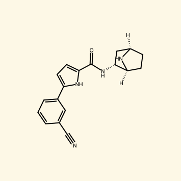 N#Cc1cccc(-c2ccc(C(=O)N[C@@H]3C[C@H]4CC[C@@H]3N4)[nH]2)c1